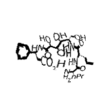 C=CC[C@H](NC(=O)[C@@H](N)CCC)C(=O)N[C@@H](CO)[C@@H](O)[C@@H](O)[C@H](O)C(=O)N[C@@H](CC(=O)O)c1ccccc1